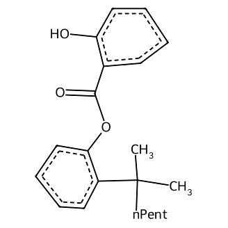 CCCCCC(C)(C)c1ccccc1OC(=O)c1ccccc1O